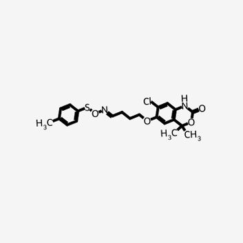 Cc1ccc(SON=CCCCOc2cc3c(cc2Cl)NC(=O)OC3(C)C)cc1